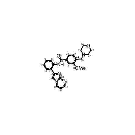 COc1cc(C(=O)Nc2ccccc2-c2cn3cccnc3n2)ccc1CN1CCOCC1